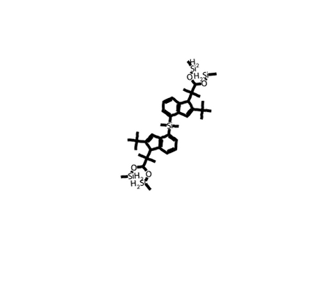 C[SiH2]OC(O[SiH2]C)C(C)(C)C1C(C(C)(C)C)=Cc2c1cccc2[Si](C)(C)c1cccc2c1C=C(C(C)(C)C)C2C(C)(C)C(O[SiH2]C)O[SiH2]C